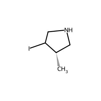 C[C@H]1CNCC1I